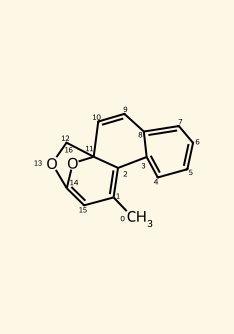 CC1=C2c3ccccc3C=CC23COC(=C1)O3